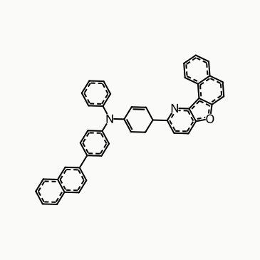 C1=CC(c2ccc3oc4ccc5ccccc5c4c3n2)CC=C1N(c1ccccc1)c1ccc(-c2ccc3ccccc3c2)cc1